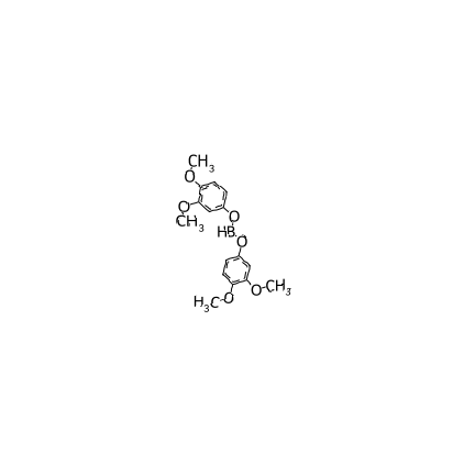 COc1ccc(OBOc2ccc(OC)c(OC)c2)cc1OC